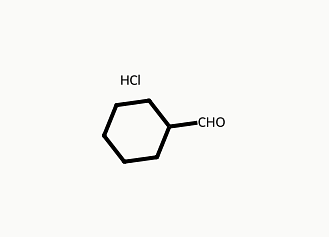 Cl.O=CC1CCCCC1